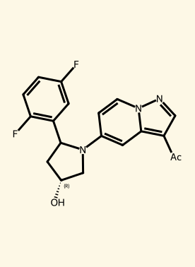 CC(=O)c1cnn2ccc(N3C[C@H](O)CC3c3cc(F)ccc3F)cc12